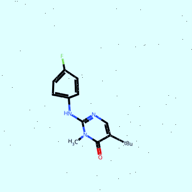 Cn1c(Nc2ccc(F)cc2)ncc(C(C)(C)C)c1=O